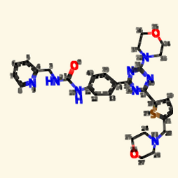 O=C(NCc1ccccn1)Nc1ccc(-c2nc(-c3ccc(CN4CCOCC4)s3)nc(N3CCOCC3)n2)cc1